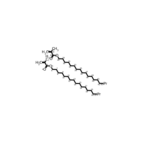 C=C(C)C(=O)OCCCCCCCCCCCCCCCC(C)C.C=C(C)C(=O)OCCCCCCCCCCCCCCCC(C)C